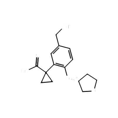 CCc1ccc(O[C@@H]2CCOC2)c(C2(C(=O)O)CC2)c1